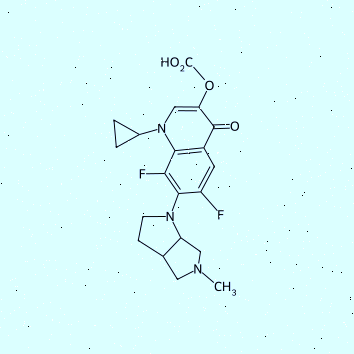 CN1CC2CCN(c3c(F)cc4c(=O)c(OC(=O)O)cn(C5CC5)c4c3F)C2C1